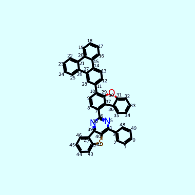 c1ccc(-c2nc(-c3ccc(-c4ccc5c6ccccc6c6ccccc6c5c4)c4oc5ccccc5c34)nc3c2sc2ccccc23)cc1